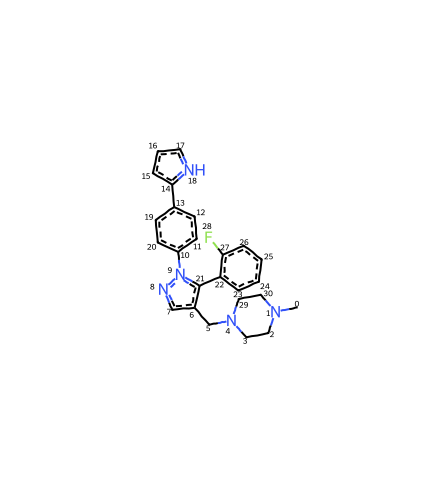 CN1CCN(Cc2cnn(-c3ccc(-c4ccc[nH]4)cc3)c2-c2ccccc2F)CC1